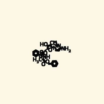 CC1[C@H](O)[C@@H](COP(=O)(N[C@@H](C)C(=O)OCc2ccccc2)Oc2ccccc2)O[C@@H]1n1ccc(N)nc1=O